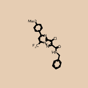 COc1ccc(-c2cc(C(F)(F)F)n3nc(C(=O)NCc4ccccc4)c(Cl)c3n2)cc1